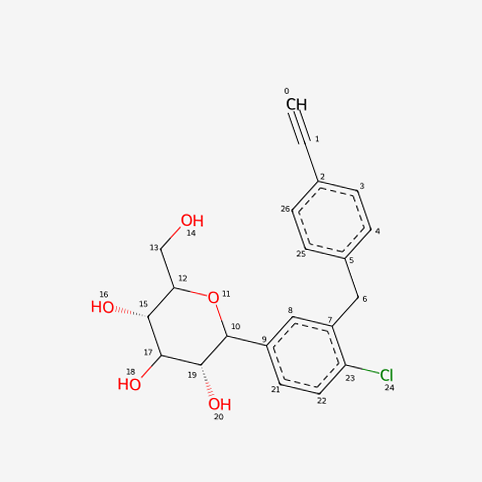 C#Cc1ccc(Cc2cc(C3OC(CO)[C@@H](O)C(O)[C@H]3O)ccc2Cl)cc1